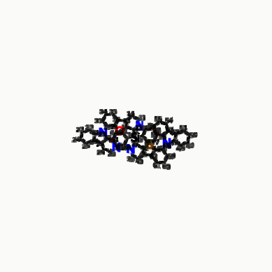 c1ccc([Si](c2ccccc2)(c2nccc3c2oc2c(-n4c5ccccc5c5ccncc54)cccc23)c2nccc3c2sc2c(-n4c5ccccc5c5ccccc54)cccc23)cc1